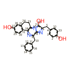 Oc1ccc(Cc2nc3c(Cc4ccccc4)nc4c(n3c2O)CCc2cc(O)ccc2-4)cc1